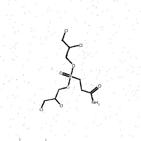 NC(=O)CCP(=O)(OCC(Cl)CCl)OCC(Cl)CCl